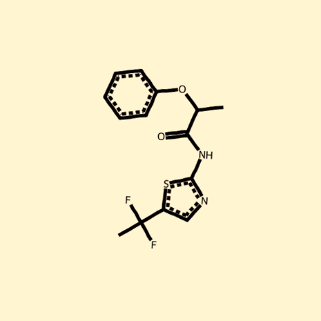 CC(Oc1ccccc1)C(=O)Nc1ncc(C(C)(F)F)s1